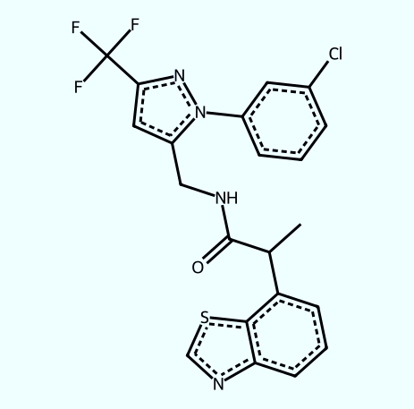 CC(C(=O)NCc1cc(C(F)(F)F)nn1-c1cccc(Cl)c1)c1cccc2ncsc12